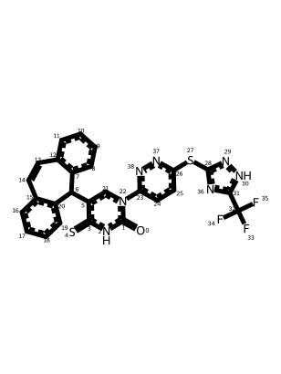 O=c1[nH]c(=S)c(C2c3ccccc3C=Cc3ccccc32)cn1-c1ccc(Sc2n[nH]c(C(F)(F)F)n2)nn1